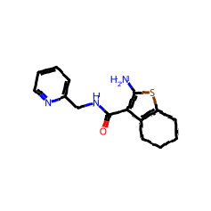 Nc1sc2c(c1C(=O)NCc1ccccn1)CCCC2